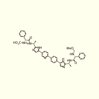 COCN[C@@H](C(=O)N[C@@H](C)c1ncc(-c2ccc(-c3ccc(-c4cnc([C@H](C)NC(=O)[C@H](NC(=O)O)c5ccccc5)[nH]4)cn3)cc2)[nH]1)c1ccccc1